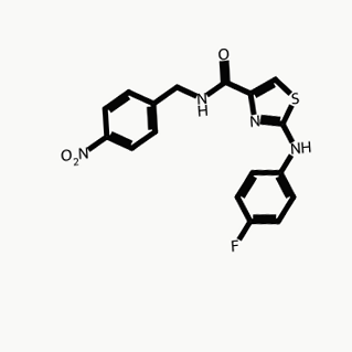 O=C(NCc1ccc([N+](=O)[O-])cc1)c1csc(Nc2ccc(F)cc2)n1